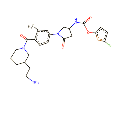 Cc1cc(N2CC(NC(=O)Oc3ccc(Br)s3)CC2=O)ccc1C(=O)N1CCCC(CCN)C1